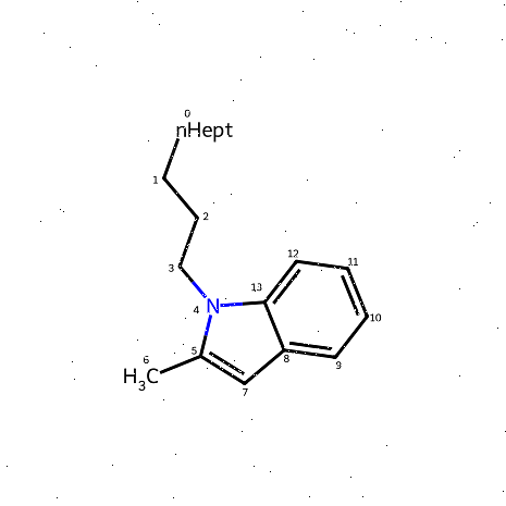 CCCCCCCCCCn1c(C)cc2ccccc21